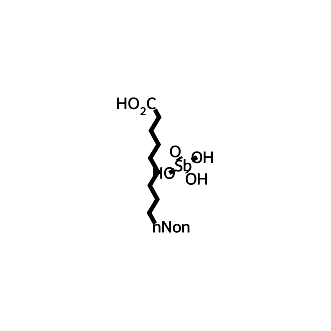 CCCCCCCCCCCCCCCCCC(=O)O.[O]=[Sb]([OH])([OH])[OH]